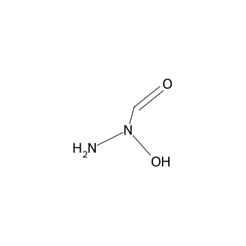 NN(O)C=O